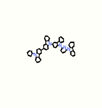 c1ccc(-n2c3ccccc3c3cc(-c4ccc5c(c4)c4ccccc4n5-c4ccc5c(c4)c4ccccc4n5-c4cccc(-n5c6ccccc6c6ccccc65)n4)ccc32)cc1